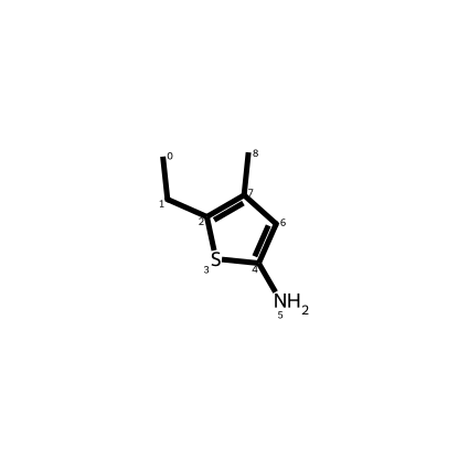 CCc1sc(N)[c]c1C